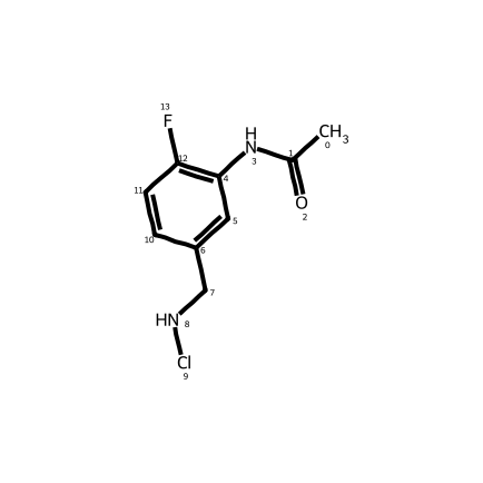 CC(=O)Nc1cc(CNCl)ccc1F